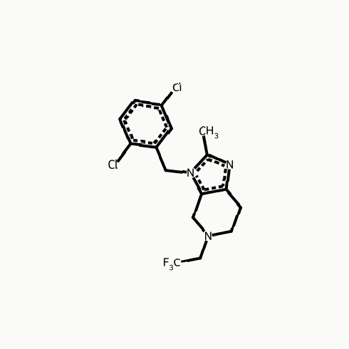 Cc1nc2c(n1Cc1cc(Cl)ccc1Cl)CN(CC(F)(F)F)CC2